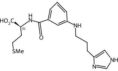 CSCC[C@H](NC(=O)c1cccc(NCCCc2c[nH]cn2)c1)C(=O)O